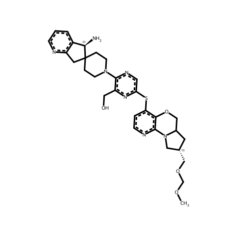 COCOC[C@H]1CC2COc3c(Sc4cnc(N5CCC6(CC5)Cc5ncccc5[C@H]6N)c(CO)n4)ccnc3N2C1